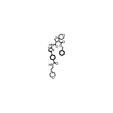 O=C(NCCN1CCOCC1)c1ccc(-c2csc(NC(=O)C3CSC4(CCOCC4)N3C(=O)OCc3ccccc3)n2)cc1